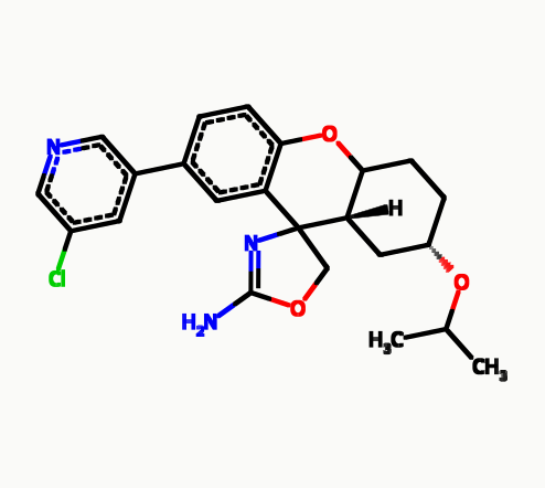 CC(C)O[C@H]1CCC2Oc3ccc(-c4cncc(Cl)c4)cc3C3(COC(N)=N3)[C@H]2C1